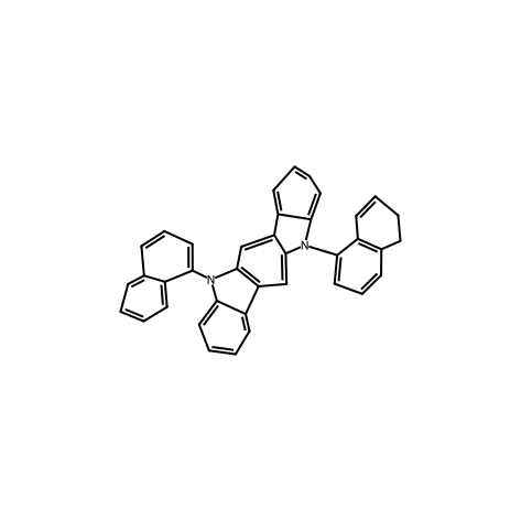 C1=Cc2c(cccc2-n2c3ccccc3c3cc4c(cc32)c2ccccc2n4-c2cccc3ccccc23)CC1